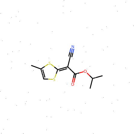 CC1=CS/C(=C(/C#N)C(=O)OC(C)C)S1